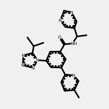 Cc1ccc(-c2cc(C(=O)NC(C)c3cncnc3)cc(-n3nnnc3C(C)C)c2)nc1